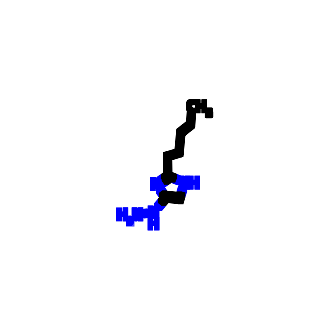 CCCCCc1nc(NN)c[nH]1